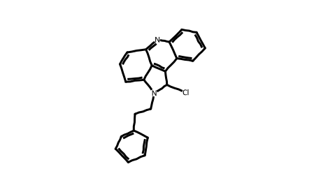 ClC1c2c3ccccc3nc3cccc(c23)N1CCc1ccccc1